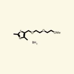 B.COCCOCCOCc1sc(C)nc1C